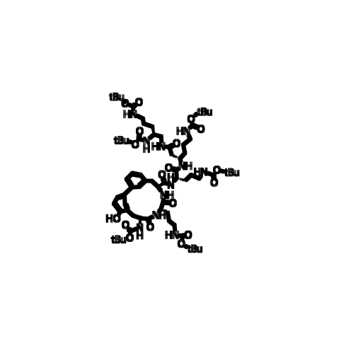 CC(C)(C)OC(=O)NCCC[C@@H](CNC(=O)C[C@H](CCCNC(=O)OC(C)(C)C)NC(=O)[C@H](CCCNC(=O)OC(C)(C)C)NC(=O)[C@@H]1Cc2cccc(c2)-c2ccc(O)c(c2)C[C@H](NC(=O)OC(C)(C)C)C(=O)N[C@@H](CCCNC(=O)OC(C)(C)C)C(=O)N1)NC(=O)OC(C)(C)C